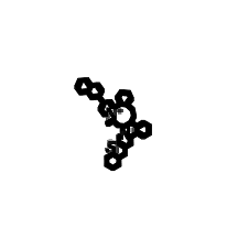 C=C1CC2C(CCc3ccccc3-c3cc(-c4ccc5ccccc5c4)cc[n+]31)c1ccccc1-c1cc(CC3CCCCC3)c([Si](C)(C)C)c[n+]12